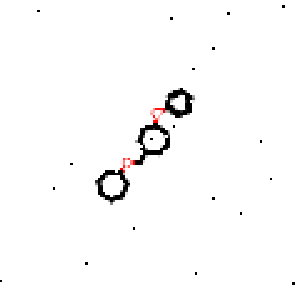 [c]1ccc(OC2CCCC(COC3CC[CH]CCC3)CC2)cc1